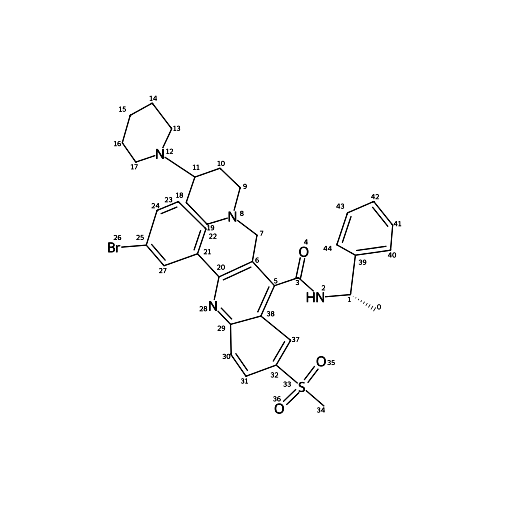 C[C@H](NC(=O)c1c(CN2CCC(N3CCCCC3)CC2)c(-c2cccc(Br)c2)nc2ccc(S(C)(=O)=O)cc12)c1ccccc1